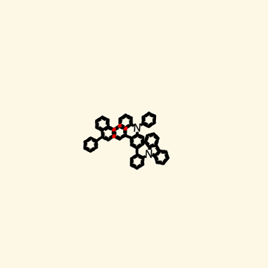 c1ccc(-c2cc(-c3ccccc3-n3c4ccccc4c4ccccc43)ccc2N(c2ccccc2)c2cccc(-c3ccc(-c4ccccc4)c4ccccc34)c2)cc1